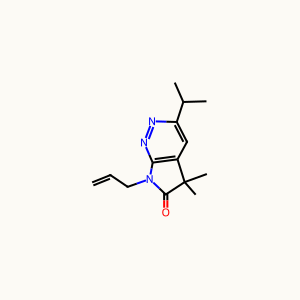 C=CCN1C(=O)C(C)(C)c2cc(C(C)C)nnc21